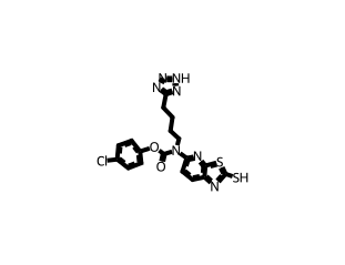 O=C(Oc1ccc(Cl)cc1)N(CCCCc1nn[nH]n1)c1ccc2nc(S)sc2n1